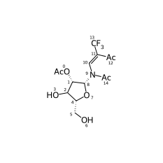 CC(=O)O[C@H]1C(O)[C@@H](CO)O[C@H]1N(/C=C(\C(C)=O)C(F)(F)F)C(C)=O